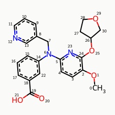 COc1ccc(N(Cc2cccnc2)c2cccc(C(=O)O)c2)nc1OC1CCOC1